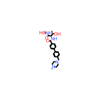 C[C@@H](O)[C@H](NC(=O)c1ccc(-c2ccc(CN3CCN(C)CC3)cc2)cc1)C(=O)NO